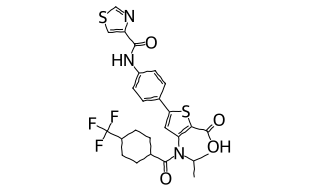 CC(C)N(C(=O)C1CCC(C(F)(F)F)CC1)c1cc(-c2ccc(NC(=O)c3cscn3)cc2)sc1C(=O)O